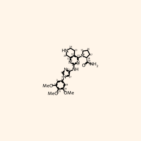 COc1cc(-n2cnc(Nc3nc4c(c(N5CCC[C@H]5C(N)=O)n3)CCNC4)c2)cc(OC)c1OC